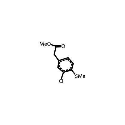 COC(=O)Cc1ccc(SC)c(Cl)c1